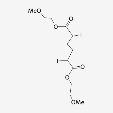 COCCOC(=O)C(I)CCC(I)C(=O)OCCOC